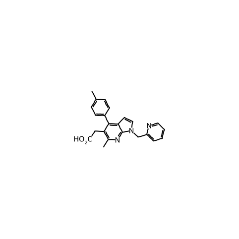 Cc1ccc(-c2c(CC(=O)O)c(C)nc3c2ccn3Cc2ccccn2)cc1